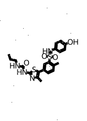 CCCNC(=O)Nc1nc(C)c(-c2ccc(C)c(S(=O)(=O)Nc3ccc(O)cc3)c2)s1